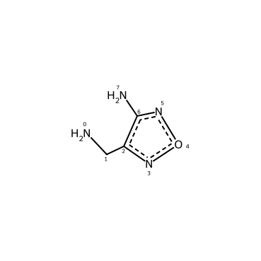 NCc1nonc1N